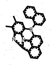 Cc1cc2c3c(nc4c5cccc6ccc(c(c65)n43)B2c2cccc3ccccc23)c1C